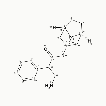 CN1[C@H]2CC[C@H]1CC(NC(=O)C(CN)c1ccccc1)C2